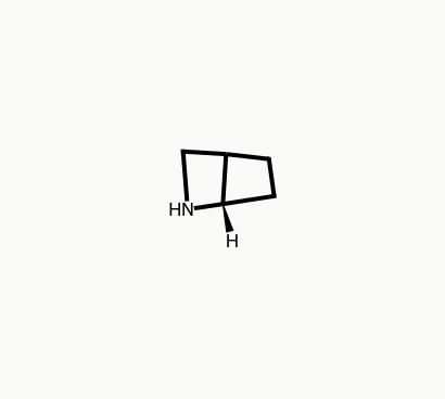 C1C[C@@H]2NCC12